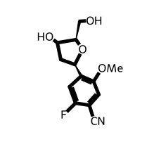 COc1cc(C#N)c(F)cc1[C@H]1CC(O)[C@@H](CO)O1